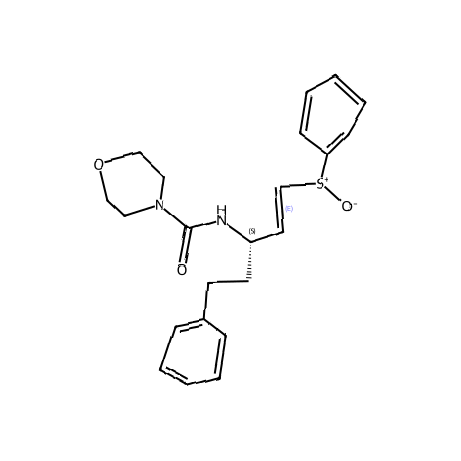 O=C(N[C@H](/C=C/[S+]([O-])c1ccccc1)CCc1ccccc1)N1CCOCC1